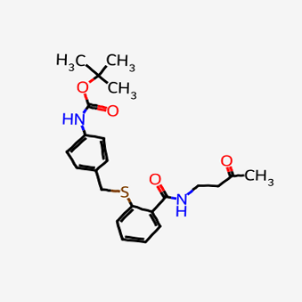 CC(=O)CCNC(=O)c1ccccc1SCc1ccc(NC(=O)OC(C)(C)C)cc1